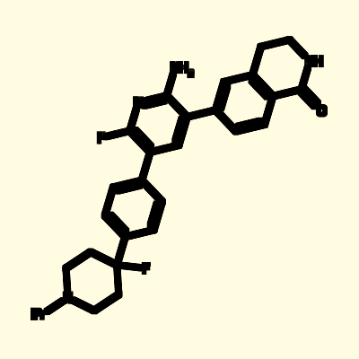 CC(C)N1CCC(F)(c2ccc(-c3cc(-c4ccc5c(c4)CCNC5=O)c(N)nc3F)cc2)CC1